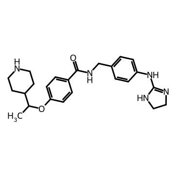 CC(Oc1ccc(C(=O)NCc2ccc(NC3=NCCN3)cc2)cc1)C1CCNCC1